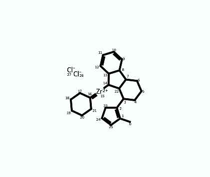 CC1=C(C2CCCC3C4C=CC=CC4[CH]([Zr+2]=[C]4CCCCC4)C23)CC=C1.[Cl-].[Cl-]